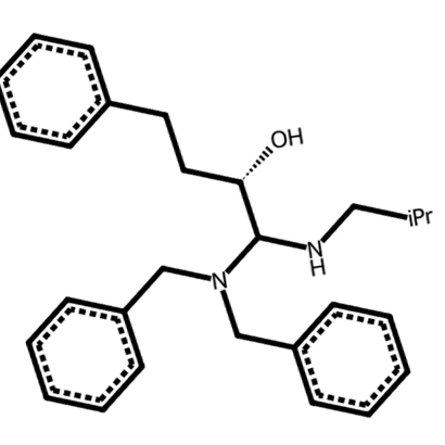 CC(C)CNC([C@@H](O)CCc1ccccc1)N(Cc1ccccc1)Cc1ccccc1